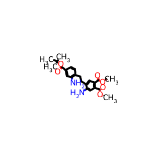 COC(=O)c1cc(N)c(CCc2ccc(C(=O)OC(C)(C)C)cc2N)cc1C(=O)OC